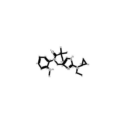 CCN(c1nc(CN(C(=O)C(C)(C)C)c2ccccc2OC)cs1)C1CC1